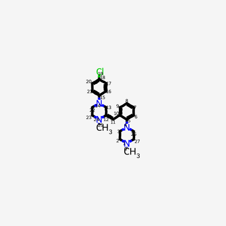 CN1CCN(c2ccccc2C=C2CN(c3ccc(Cl)cc3)CCN2C)CC1